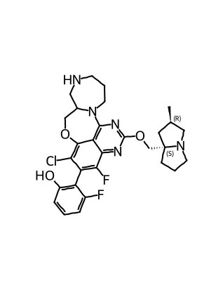 C[C@H]1CN2CCC[C@@]2(COc2nc3c4c(c(Cl)c(-c5c(O)cccc5F)c(F)c4n2)OCC2CNCCCN32)C1